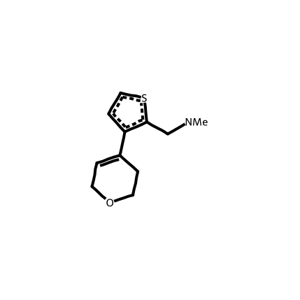 CNCc1sccc1C1=CCOCC1